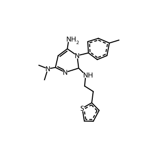 Cc1ccc(N2C(N)=CC(N(C)C)=NC2NCCc2cccs2)cc1